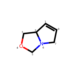 C1=CC2COCN2C1